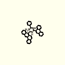 NC(NC(NCc1c2ccccc2cc2c1ccc1ccccc12)c1cc2ccccc2c2ccccc12)c1ccccc1